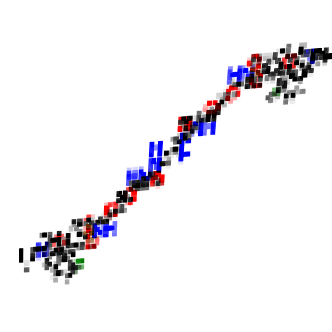 CN(C)C1Cc2ccc(F)cc2[C@@H]1Oc1ccc(S(=O)(=O)NCCOCCOCCNC(=O)NCCCCNC(=O)NCCOCCOCCNS(=O)(=O)c2ccc(O[C@H]3c4cc(F)ccc4CC3N(C)C)cc2)cc1